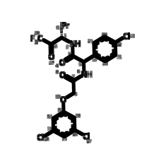 CC(C)[C@H](NC(=O)C(NC(=O)COc1cc(Cl)cc(Cl)c1)c1ccc(Cl)cc1)C(=O)C(F)(F)F